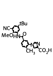 COc1c(C#N)cc(C(C)(C)C)cc1NC(=O)c1ccc(C)c(-n2cnc(C(=O)O)c2)c1